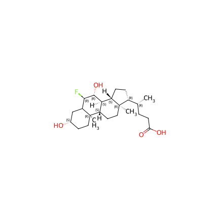 C[C@H](CCC(=O)O)[C@H]1CC[C@H]2[C@@H]3[C@@H](O)[C@H](F)C4C[C@@H](O)CC[C@]4(C)[C@H]3CC[C@]12C